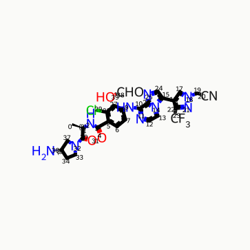 C[C@@H](NC(=O)c1ccc(Nc2nccn3c(-c4cn(CC#N)nc4C(F)(F)F)cnc23)cc1Cl)C(=O)N1CC[C@H](N)C1.O=CO